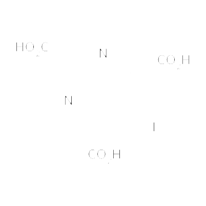 O=C(O)c1nc(C(=O)O)c(I)c(C(=O)O)n1